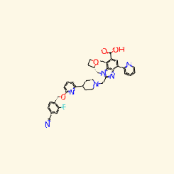 Cc1c(C(=O)O)cc(-c2ccccn2)c2nc(CN3CCC(c4cccc(OCc5ccc(C#N)cc5F)n4)CC3)n(C[C@@H]3CCO3)c12